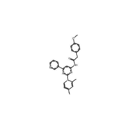 COc1ccc(CC(=O)Nc2cc(-c3cccnc3)nc(N3C=C=C(C)C=C3C)n2)cc1